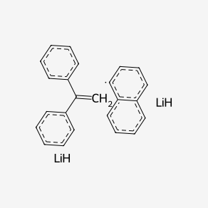 C=C(c1ccccc1)c1ccccc1.[LiH].[LiH].[c]1cccc2ccccc12